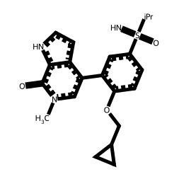 CC(C)S(=N)(=O)c1ccc(OCC2CC2)c(-c2cn(C)c(=O)c3[nH]ccc23)c1